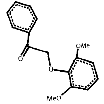 COc1cccc(OC)c1OCC(=O)c1ccccc1